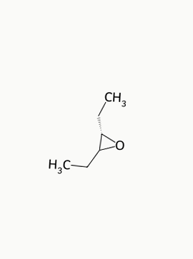 CCC1O[C@H]1CC